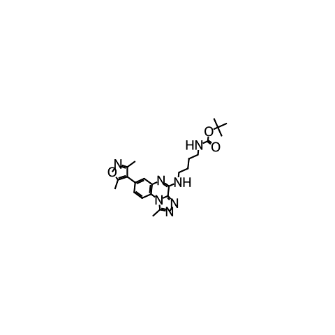 Cc1noc(C)c1-c1ccc2c(c1)nc(NCCCCNC(=O)OC(C)(C)C)c1nnc(C)n12